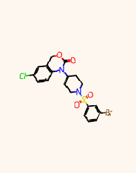 O=C1OCc2cc(Cl)ccc2N1C1CCN(S(=O)(=O)c2cccc(Br)c2)CC1